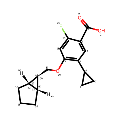 O=C(O)c1cc(C2CC2)c(OC[C@H]2[C@@H]3CCC[C@@H]32)cc1F